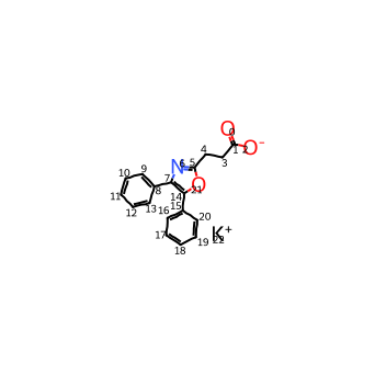 O=C([O-])CCc1nc(-c2ccccc2)c(-c2ccccc2)o1.[K+]